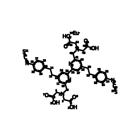 O=C(O)CN(CC(=O)O)Cc1cc(CCc2ccc(N=C=S)cc2)cc(-c2cc(CCc3ccc(N=C=S)cc3)cc(CN(CC(=O)O)CC(=O)O)n2)n1.[Eu]